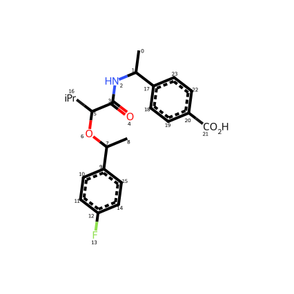 CC(NC(=O)C(OC(C)c1ccc(F)cc1)C(C)C)c1ccc(C(=O)O)cc1